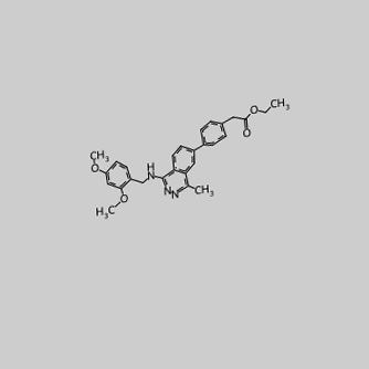 CCOC(=O)Cc1ccc(-c2ccc3c(NCc4ccc(OC)cc4OC)nnc(C)c3c2)cc1